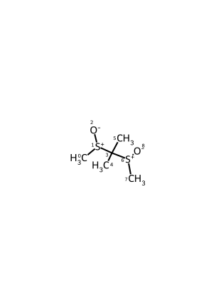 C[S+]([O-])C(C)(C)[S+](C)[O-]